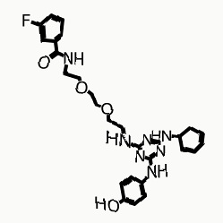 O=C(NCCOCCOCCNc1nc(Nc2ccc(O)cc2)nc(NC2C=CC=CC2)n1)c1cccc(F)c1